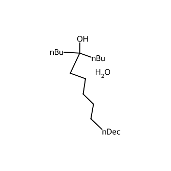 CCCCCCCCCCCCCCCC(O)(CCCC)CCCC.O